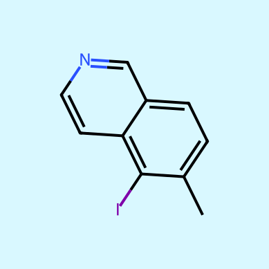 Cc1ccc2cnccc2c1I